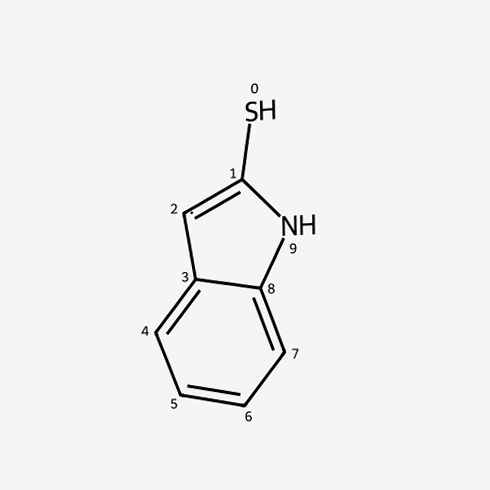 Sc1[c]c2ccccc2[nH]1